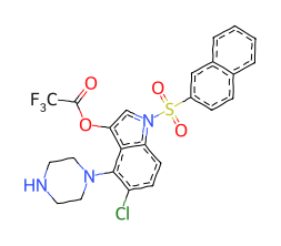 O=C(Oc1cn(S(=O)(=O)c2ccc3ccccc3c2)c2ccc(Cl)c(N3CCNCC3)c12)C(F)(F)F